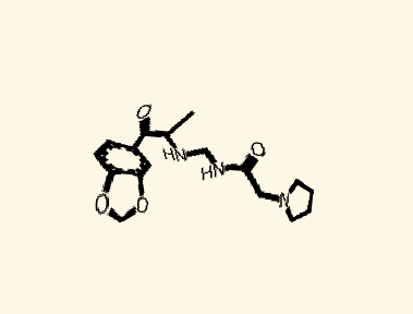 CC(NCNC(=O)CN1CCCC1)C(=O)c1ccc2c(c1)OCO2